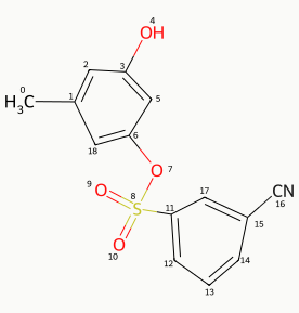 Cc1cc(O)cc(OS(=O)(=O)c2cccc(C#N)c2)c1